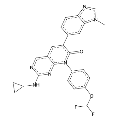 Cn1cnc2ccc(-c3cc4cnc(NC5CC5)nc4n(-c4ccc(OC(F)F)cc4)c3=O)cc21